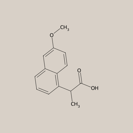 COc1ccc2c(C(C)C(=O)O)cccc2c1